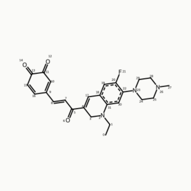 CCN1CC(C(=O)C=CC2=CC(=O)C(=O)C=C2)=Cc2cc(F)c(N3CCN(C)CC3)cc21